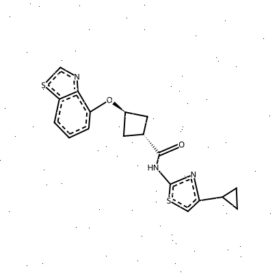 O=C(Nc1nc(C2CC2)cs1)[C@H]1C[C@H](Oc2cccc3scnc23)C1